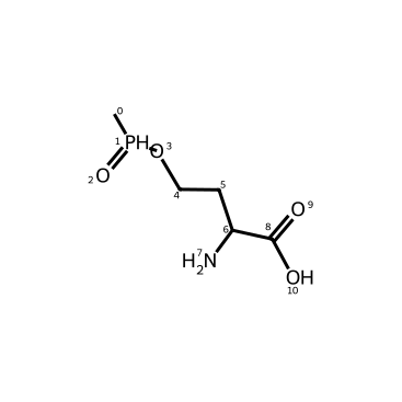 C[PH](=O)OCCC(N)C(=O)O